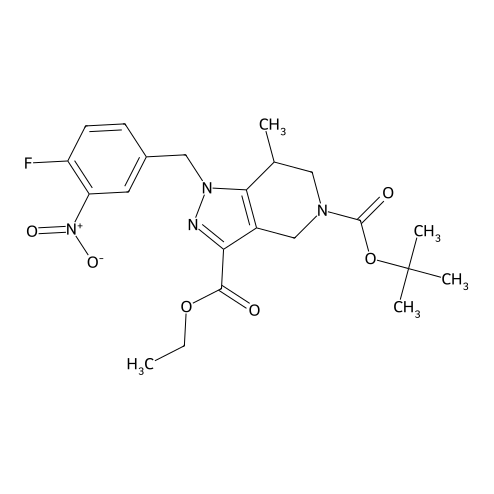 CCOC(=O)c1nn(Cc2ccc(F)c([N+](=O)[O-])c2)c2c1CN(C(=O)OC(C)(C)C)CC2C